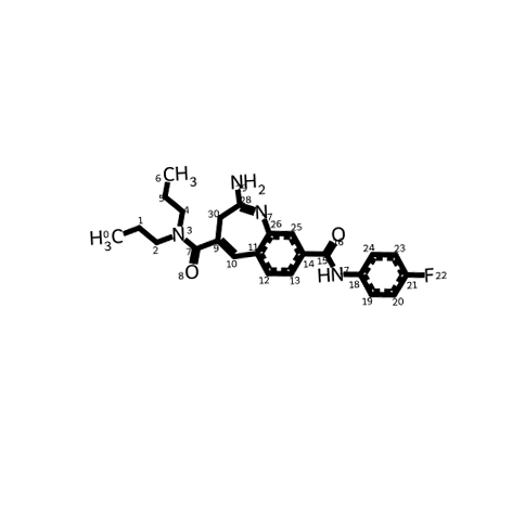 CCCN(CCC)C(=O)C1=Cc2ccc(C(=O)Nc3ccc(F)cc3)cc2N=C(N)C1